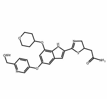 COCc1ccc(Oc2cc(OC3CCOCC3)c3[nH]c(C4=NCC(CC(N)=O)S4)cc3c2)cn1